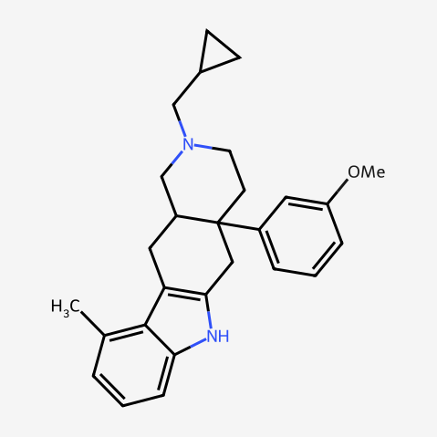 COc1cccc(C23CCN(CC4CC4)CC2Cc2c([nH]c4cccc(C)c24)C3)c1